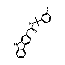 CC(C)(NC(=O)Cc1ccc2c(c1)[nH]c1ccccc12)c1cccc(F)c1